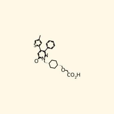 Cc1csc(-c2cc(=O)n(C[C@H]3CC[C@@H](COCC(=O)O)CC3)nc2-c2ccccc2)c1